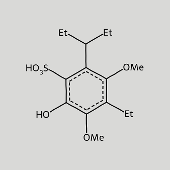 CCc1c(OC)c(O)c(S(=O)(=O)O)c(C(CC)CC)c1OC